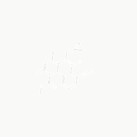 CCOC(=O)N1C(C)=NC(C)=C(OCC2CC2)C1C1=CC=CC(=C=O)C1[N+](=O)[O-]